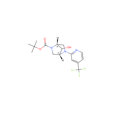 CC(C)(C)OC(=O)N1C[C@@H]2C(O)[C@H]1CN2c1cc(C(F)(F)F)ccn1